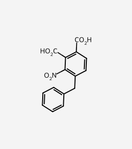 O=C(O)c1ccc(Cc2ccccc2)c([N+](=O)[O-])c1C(=O)O